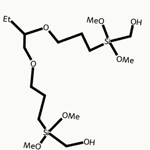 CCC(COCCC[Si](CO)(OC)OC)OCCC[Si](CO)(OC)OC